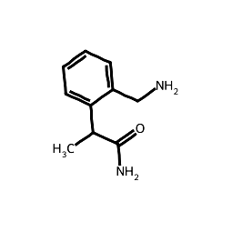 CC(C(N)=O)c1ccccc1CN